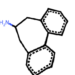 NC1Cc2ccccc2-c2ccccc2C1